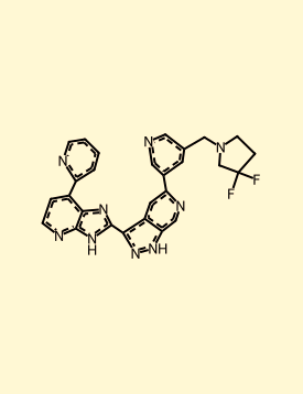 FC1(F)CCN(Cc2cncc(-c3cc4c(-c5nc6c(-c7ccccn7)ccnc6[nH]5)n[nH]c4cn3)c2)C1